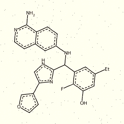 CCc1cc(O)c(F)c(C(Nc2ccc3c(N)nccc3c2)c2nc(-c3ccoc3)c[nH]2)c1